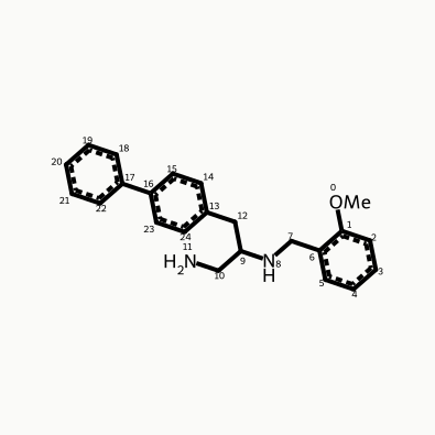 COc1ccccc1CNC(CN)Cc1ccc(-c2ccccc2)cc1